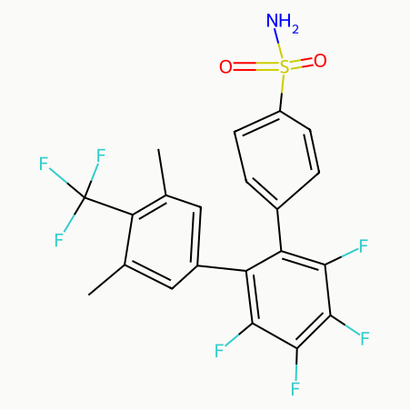 Cc1cc(-c2c(F)c(F)c(F)c(F)c2-c2ccc(S(N)(=O)=O)cc2)cc(C)c1C(F)(F)F